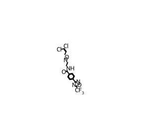 O=C(NCC=NOCC=C(Cl)Cl)c1ccc(-c2noc(C(F)(F)F)n2)cc1